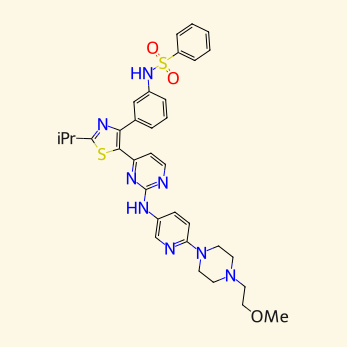 COCCN1CCN(c2ccc(Nc3nccc(-c4sc(C(C)C)nc4-c4cccc(NS(=O)(=O)c5ccccc5)c4)n3)cn2)CC1